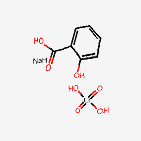 O=C(O)c1ccccc1O.[NaH].[O]=[Cr](=[O])([OH])[OH]